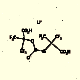 O=C(O)C(OB([O-])OC(C(=O)O)(C(F)(F)F)C(F)(F)F)(C(F)(F)F)C(F)(F)F.[Li+]